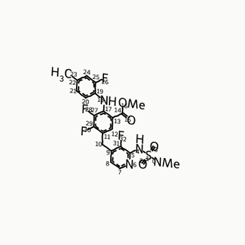 CNS(=O)(=O)Nc1nccc(Cc2cc(C(=O)OC)c(Nc3ccc(C)cc3F)c(F)c2F)c1F